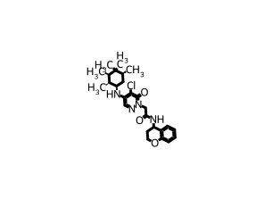 C[C@@H]1[C@@H](C)C(C)(C)[C@@H](C)C[C@H]1Nc1cnn(CC(=O)NC2CCOc3ccccc32)c(=O)c1Cl